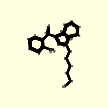 Cc1ccccc1C(=O)c1cn(CCCCCF)c2ccccc12